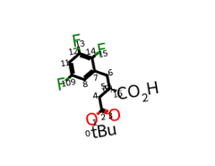 CC(C)(C)OC(=O)C[C@@H](Cc1cc(F)cc(F)c1F)C(=O)O